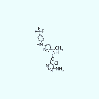 CC(NCOCc1ncnc(N)c1Cl)c1ccc(Nc2ccc(C(F)(F)F)cc2)nn1